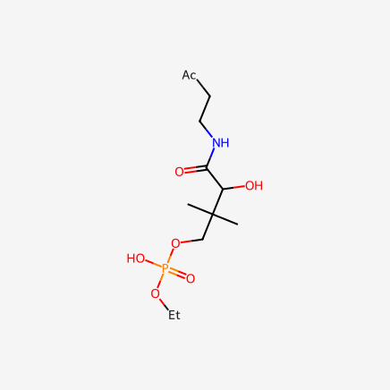 CCOP(=O)(O)OCC(C)(C)C(O)C(=O)NCCC(C)=O